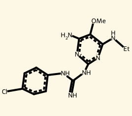 CCNc1nc(NC(=N)Nc2ccc(Cl)cc2)nc(N)c1OC